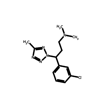 Cc1nnn(C(CCN(C)C)c2cccc(Cl)c2)n1